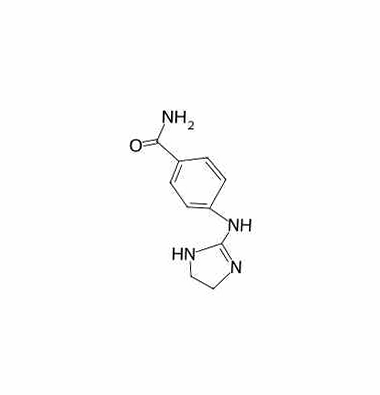 NC(=O)c1ccc(NC2=NCCN2)cc1